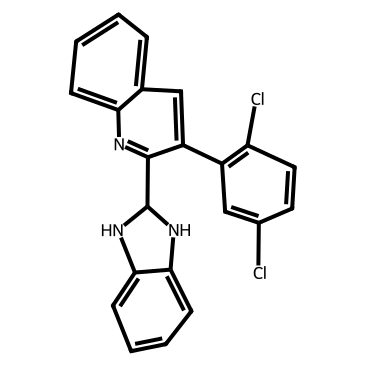 Clc1ccc(Cl)c(-c2cc3ccccc3nc2C2Nc3ccccc3N2)c1